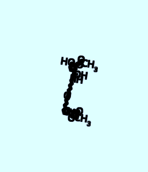 CC(=O)OCc1cc([C@@H](O)CNCCCCCCOCCCCc2cccc(N3CC(=O)N(C)C3=O)c2)ccc1O